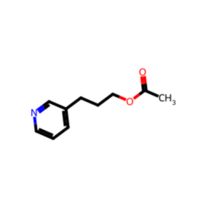 CC(=O)OCCCc1cccnc1